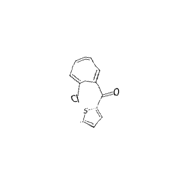 O=C(c1cc[c]s1)c1ccccc1Cl